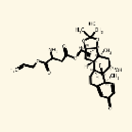 C=CCOC(=O)C(N)CC(=O)OCC(=O)[C@@]12OC(C)(C)O[C@@H]1C[C@H]1[C@@H]3CCC4=CC(=O)C=C[C@]4(C)[C@@]3(F)[C@@H](O)C[C@@]12C.Cl